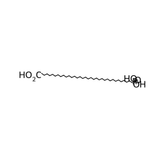 O=C(O)CCCCCCCCCCCCCCCCCCCCCCCCCCCCCCCCCCP(=O)(O)O